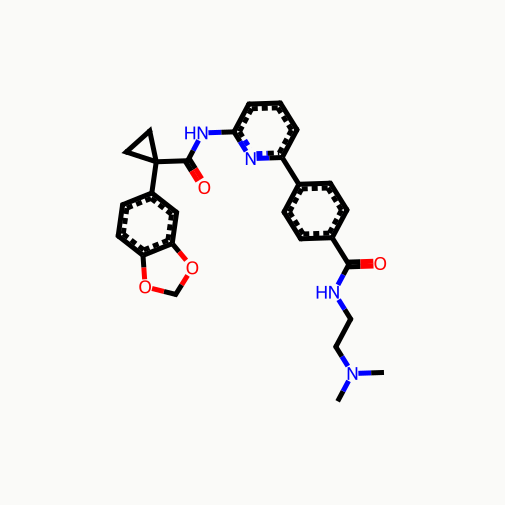 CN(C)CCNC(=O)c1ccc(-c2cccc(NC(=O)C3(c4ccc5c(c4)OCO5)CC3)n2)cc1